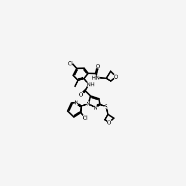 Cc1cc(Cl)cc(C(=O)NC2COC2)c1NC(=O)c1cc(SC2COC2)nn1-c1ncccc1Cl